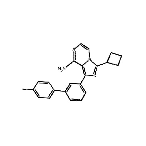 Cc1ccc(-c2cccc(-c3nc(C4CCC4)n4ccnc(N)c34)c2)cc1